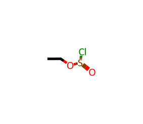 CCOS(=O)Cl